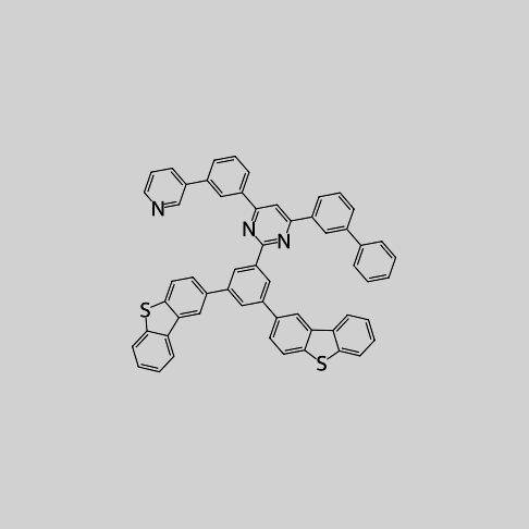 c1ccc(-c2cccc(-c3cc(-c4cccc(-c5cccnc5)c4)nc(-c4cc(-c5ccc6sc7ccccc7c6c5)cc(-c5ccc6sc7ccccc7c6c5)c4)n3)c2)cc1